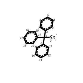 [Sn][C](c1ccccc1)(c1ccccc1)c1ccccc1